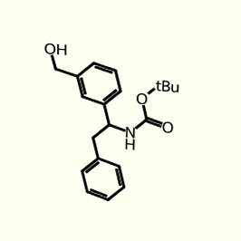 CC(C)(C)OC(=O)NC(Cc1ccccc1)c1cccc(CO)c1